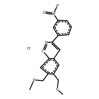 COCc1cc2c(cc1COC)C=C(c1cccc([N+](=O)[O-])c1)N=[C+]2.[Cl-]